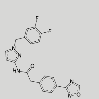 O=C(Cc1ccc(-c2ncon2)cc1)Nc1ccn(Cc2ccc(F)c(F)c2)n1